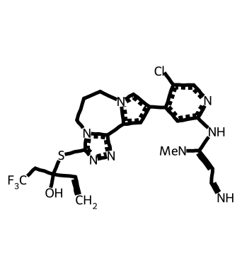 C=CC(O)(CC(F)(F)F)Sc1nnc2n1CCCn1cc(-c3cc(N/C(=C/C=N)NC)ncc3Cl)cc1-2